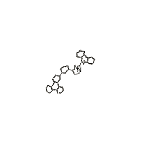 C1=C(c2cccc(-c3ccc4c5ccccc5c5ccccc5c4c3)c2)N2C(n3c4ccccc4c4ccccc43)N2C1